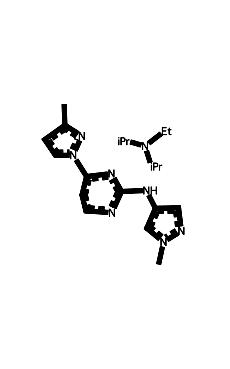 CCN(C(C)C)C(C)C.Cc1ccn(-c2ccnc(Nc3cnn(C)c3)n2)n1